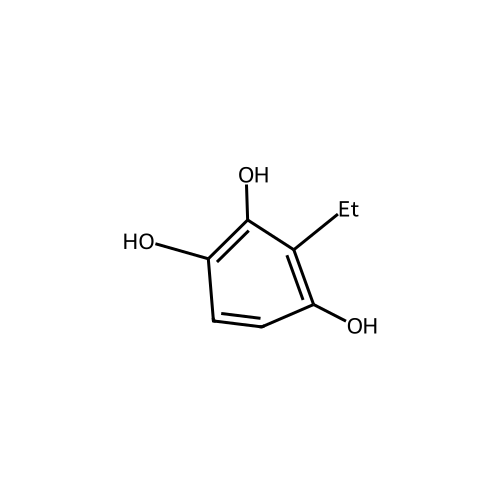 CCc1c(O)ccc(O)c1O